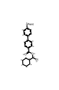 CCCCCc1ccc(-c2ccc(C(=O)OC(CC)C3CCCCC3)cc2)cc1